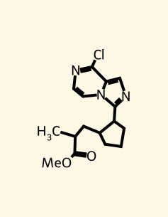 COC(=O)C(C)CC1CCCC1c1ncc2c(Cl)nccn12